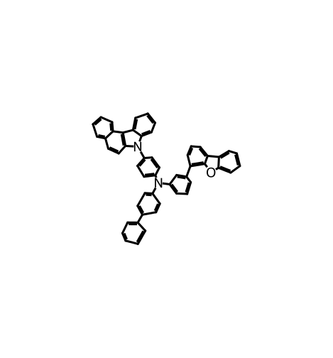 c1ccc(-c2ccc(N(c3ccc(-n4c5ccccc5c5c6ccccc6ccc54)cc3)c3cccc(-c4cccc5c4oc4ccccc45)c3)cc2)cc1